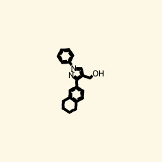 OCc1cn(-c2ccccc2)nc1-c1ccc2c(c1)CCCC2